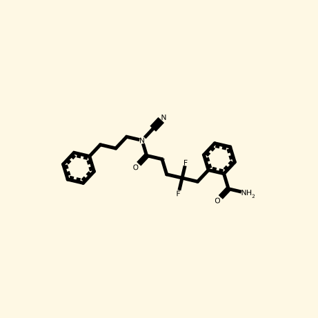 N#CN(CCCc1ccccc1)C(=O)[CH]CC(F)(F)Cc1ccccc1C(N)=O